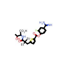 CCC(CC)(Cc1ccc(C(=O)Oc2ccc(C(=N)N)cc2F)s1)C(=O)NC(C(=O)O)C(C)O